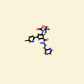 Cc1ccc(-c2cc(C(=O)NCCc3cnccn3)cc(N3C(=O)OCC3(C)C)c2)nc1